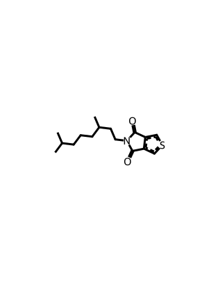 CC(C)CCCC(C)CCN1C(=O)c2cscc2C1=O